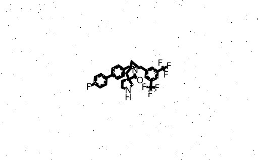 O=C(N(Cc1ccc(-c2ccc(F)cc2)cc1)Cc1cc(C(F)(F)F)cc(C(F)(F)F)c1)C1(CC2CC2)CCNC1